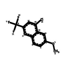 COc1ccc2nc(C(F)(F)F)cc(Cl)c2c1